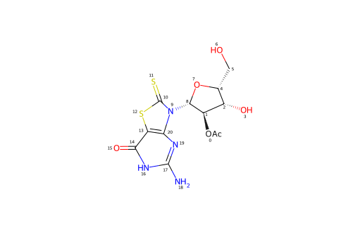 CC(=O)O[C@@H]1[C@@H](O)[C@@H](CO)O[C@H]1n1c(=S)sc2c(=O)[nH]c(N)nc21